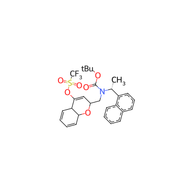 C[C@H](c1cccc2ccccc12)N(CC1C=C(OS(=O)(=O)C(F)(F)F)C2C=CC=CC2O1)C(=O)OC(C)(C)C